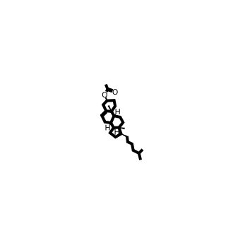 CC(=O)O[C@H]1CC[C@@]2(C)C(=CC[C@H]3[C@@H]4CC[C@H](CCCCC(C)C)[C@@]4(C)CC[C@@H]32)C1